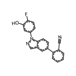 N#Cc1ccccc1-c1ccc2c(cnn2-c2ccc(F)c(O)c2)c1